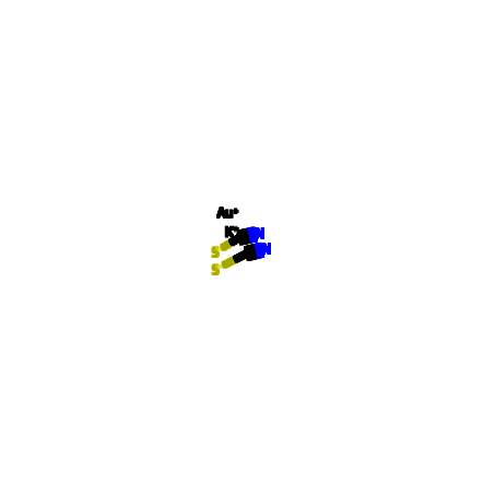 N#C[S-].N#C[S-].[Au+].[K+]